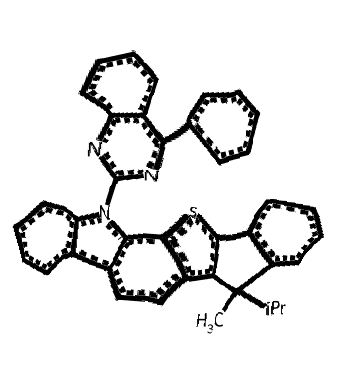 CC(C)C1(C)c2ccccc2-c2sc3c(ccc4c5ccccc5n(-c5nc(-c6ccccc6)c6ccccc6n5)c43)c21